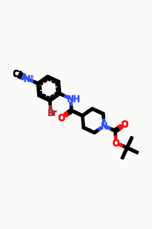 [C-]#[N+]c1ccc(NC(=O)C2CCN(C(=O)OC(C)(C)C)CC2)c(Br)c1